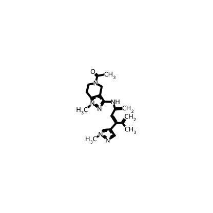 C=C(/C=C(\C(=C)C)c1cnn(C)c1)Nc1nn(C)c2c1CN(C(C)=O)CC2